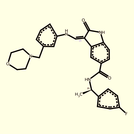 C[C@@H](NC(=O)c1ccc2c(c1)/C(=C/Nc1cccc(CN3CCOCC3)c1)C(=O)N2)c1ccc(F)cc1